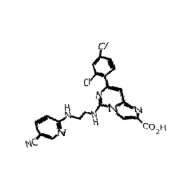 N#Cc1ccc(NCCNc2nc(-c3ccc(Cl)cc3Cl)cc3nc(C(=O)O)cn23)nc1